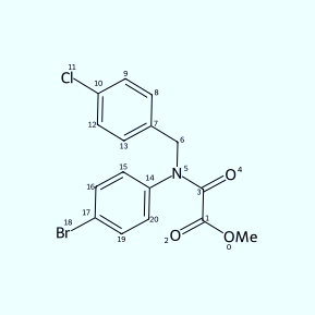 COC(=O)C(=O)N(Cc1ccc(Cl)cc1)c1ccc(Br)cc1